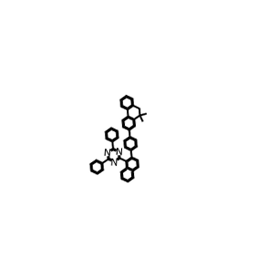 CC1(C)Cc2ccccc2-c2ccc(-c3ccc(-c4ccc5ccccc5c4-c4nc(-c5ccccc5)nc(-c5ccccc5)n4)cc3)cc21